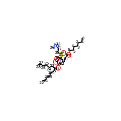 CCCCCCCOC(=O)CN(CC(=O)OC(CCCCCC)CCCCCC)C(=O)SCCN(C)C